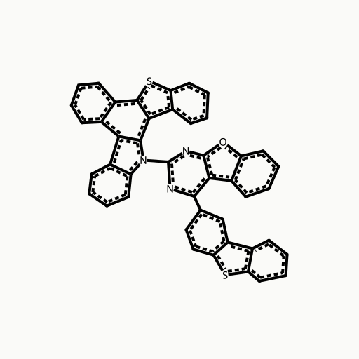 c1ccc2c(c1)oc1nc(-n3c4ccccc4c4c5ccccc5c5sc6ccccc6c5c43)nc(-c3ccc4sc5ccccc5c4c3)c12